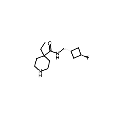 CCC1(C(=O)NC[C@H]2C[C@H](F)C2)CCNCC1